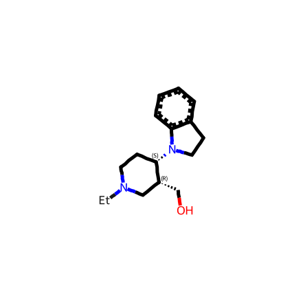 CCN1CC[C@H](N2CCc3ccccc32)[C@H](CO)C1